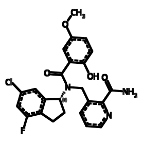 COc1ccc(O)c(C(=O)N(Cc2cccnc2C(N)=O)[C@@H]2CCc3c(F)cc(Cl)cc32)c1